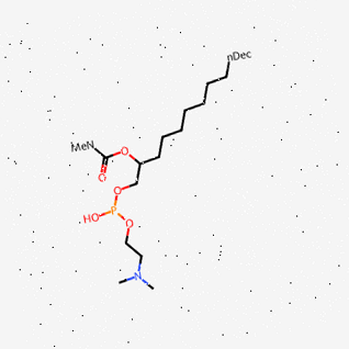 CCCCCCCCCCCCCCCCCC(COP(O)OCCN(C)C)OC(=O)NC